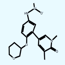 Cc1cc(-c2cc(N[S+](C)[O-])ccc2OC2CCCOC2)cn(C)c1=O